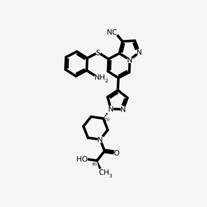 C[C@@H](O)C(=O)N1CCC[C@H](n2cc(-c3cc(Sc4ccccc4N)c4c(C#N)cnn4c3)cn2)C1